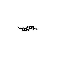 N#Cc1cc2c(s1)-c1cc3c(cc1C2)-c1sc(C#N)cc1C3